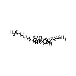 CCCCCCCCCOc1ccc(C(=O)OC2CCC(C#N)(CCCCCCC)CC2)nc1